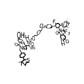 Cc1ncsc1-c1ccc(CNC(=O)[C@@H]2C[C@@H](O)CN2C(=O)C(NC(=O)COCCOCC(=O)N2CC=C(c3cc(NC(=O)c4c[nH]c(=O)cc4C(F)(F)F)c(N4C[C@@H](C)N(C)[C@@H](C)C4)cc3F)CC2)C(C)(C)C)cc1